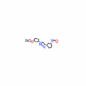 N#COc1cccc(-n2cc(-c3cccc(N=C=O)c3)nn2)c1